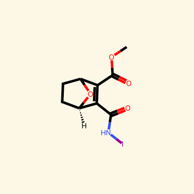 COC(=O)C1=C(C(=O)NI)[C@H]2CCC1O2